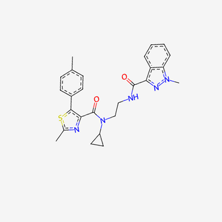 Cc1ccc(-c2sc(C)nc2C(=O)N(CCNC(=O)c2nn(C)c3ccccc23)C2CC2)cc1